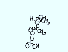 C[Si](C)(C)CCOCN(c1ccc(Cl)nc1)c1nccc2cc(OCC3(CC#N)COC3)ccc12